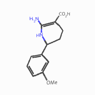 COc1cccc(C2CCC(C(=O)O)=C(N)N2)c1